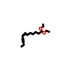 CCC#C/C=C\CCCCCC(OCC)OCC